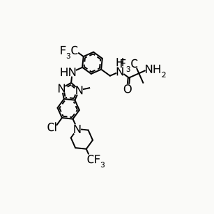 Cn1c(Nc2cc(CNC(=O)C(C)(N)C(F)(F)F)ccc2C(F)(F)F)nc2cc(Cl)c(N3CCC(C(F)(F)F)CC3)cc21